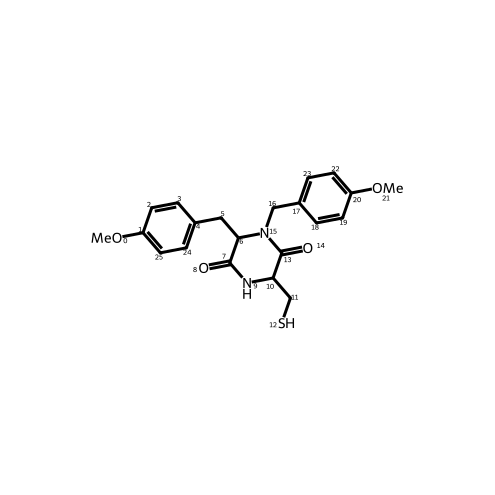 COc1ccc(CC2C(=O)NC(CS)C(=O)N2Cc2ccc(OC)cc2)cc1